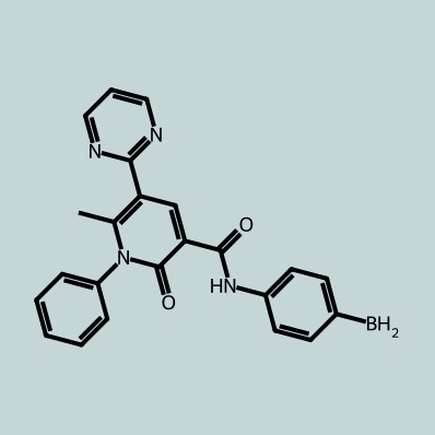 Bc1ccc(NC(=O)c2cc(-c3ncccn3)c(C)n(-c3ccccc3)c2=O)cc1